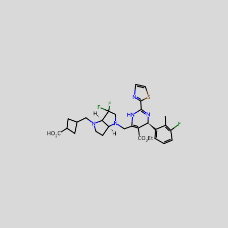 CCOC(=O)C1=C(CN2CC(F)(F)[C@H]3[C@@H]2CCN3CC2CC(C(=O)O)C2)NC(c2nccs2)=N[C@H]1c1cccc(F)c1C